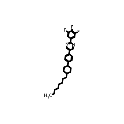 CCCCCCCCC1CCC(c2ccc(-c3cnc(-c4cc(F)c(F)c(F)c4)nc3)cc2)CC1